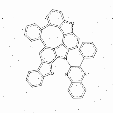 c1ccc(-c2nc3ccccc3nc2-n2c3ccc4oc5cccc6c7ccccc7c7cc8c9ccccc9oc8c2c7c3c4c56)cc1